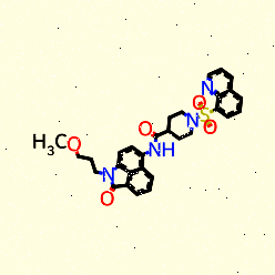 COCCCN1C(=O)c2cccc3c(NC(=O)C4CCN(S(=O)(=O)c5cccc6cccnc56)CC4)ccc1c23